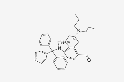 CCCN(CCC)[C@@H]1Cc2c(C=O)ccc3c2[C@@H](C1)CN3C(c1ccccc1)(c1ccccc1)c1ccccc1